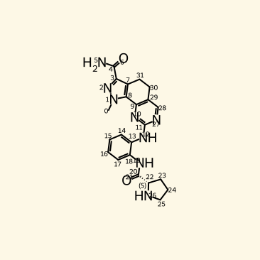 Cn1nc(C(N)=O)c2c1-c1nc(Nc3ccccc3NC(=O)[C@@H]3CCCN3)ncc1CC2